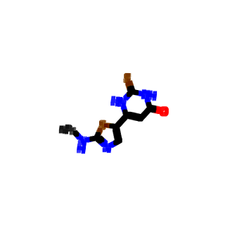 CCCNc1ncc(-c2cc(=O)[nH]c(=S)[nH]2)s1